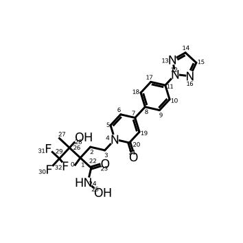 CC(CCn1ccc(-c2ccc(-n3nccn3)cc2)cc1=O)(C(=O)NO)C(C)(O)C(F)(F)F